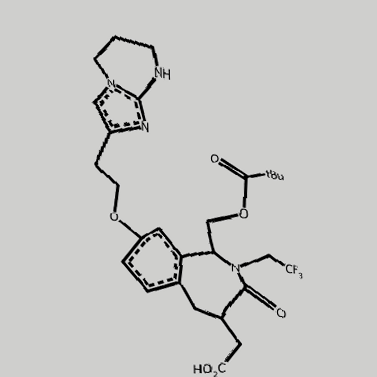 CC(C)(C)C(=O)OCC1c2cc(OCCc3cn4c(n3)NCCC4)ccc2CC(CC(=O)O)C(=O)N1CC(F)(F)F